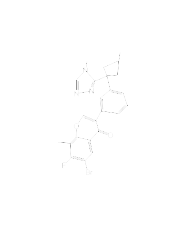 Cc1c(F)c(Br)cc2c(=O)c(-c3cccc(C4(c5nncn5C)CC(C)C4)c3)coc12